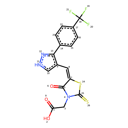 O=C(O)CN1C(=O)/C(=C\c2c[nH]nc2-c2ccc(C(F)(F)F)cc2)SC1=S